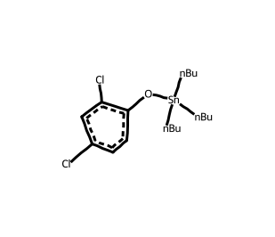 CCC[CH2][Sn]([CH2]CCC)([CH2]CCC)[O]c1ccc(Cl)cc1Cl